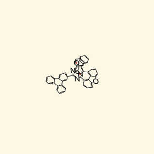 c1ccc(-c2nc(-c3ccc4c5ccccc5c5ccccc5c4c3)nc(-c3cccc4oc5cccc(-c6cccc7oc8ccccc8c67)c5c34)n2)cc1